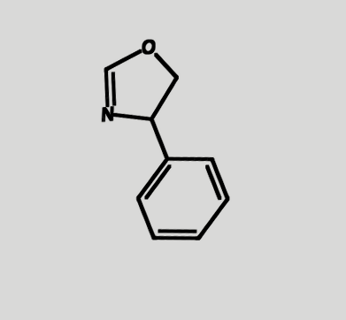 C1=NC(c2ccccc2)CO1